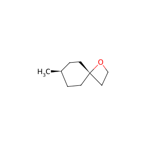 C[C@H]1CC[C@@]2(CCO2)CC1